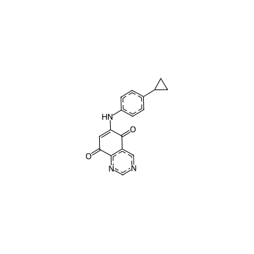 O=C1C(Nc2ccc(C3CC3)cc2)=CC(=O)c2ncncc21